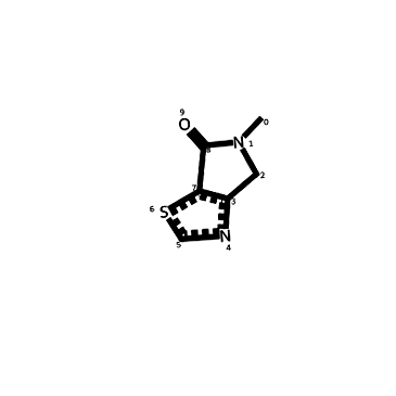 CN1Cc2ncsc2C1=O